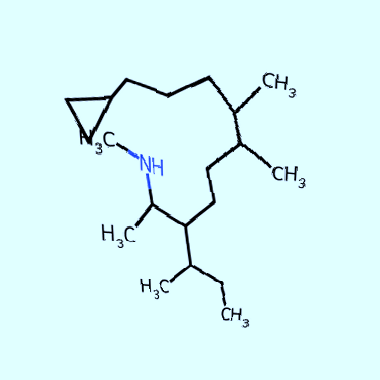 CCC(C)C(CCC(C)C(C)CCCC1CC1)C(C)NC